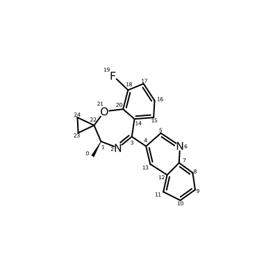 C[C@@H]1N=C(c2cnc3ccccc3c2)c2cccc(F)c2OC12CC2